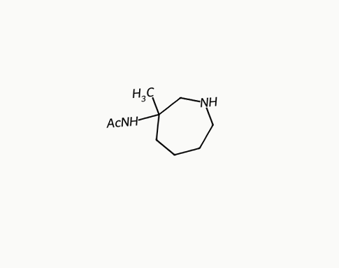 CC(=O)NC1(C)CCCCNC1